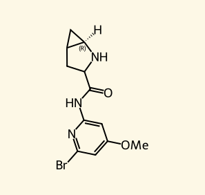 COc1cc(Br)nc(NC(=O)C2CC3C[C@H]3N2)c1